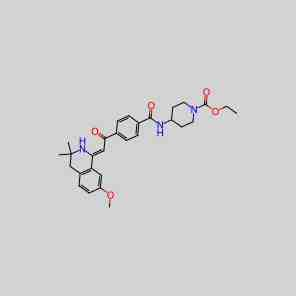 CCOC(=O)N1CCC(NC(=O)c2ccc(C(=O)C=C3NC(C)(C)Cc4ccc(OC)cc43)cc2)CC1